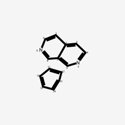 c1cc2ccncc2cn1.c1ccccc1